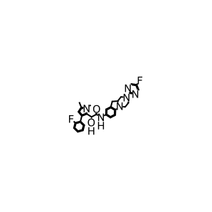 Cc1cc(-c2ccccc2F)c([C@H](O)C(=O)Nc2ccc3c(c2)CC2CN(c4ncc(F)cn4)CCN32)n1C